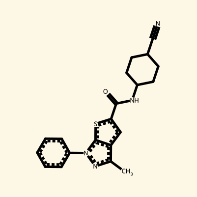 Cc1nn(-c2ccccc2)c2sc(C(=O)NC3CCC(C#N)CC3)cc12